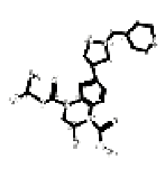 COC(=O)N1c2ccc(C3CNN(CC4CCOCC4)C3)cc2N(C(=O)OC(C)C)C[C@@H]1C